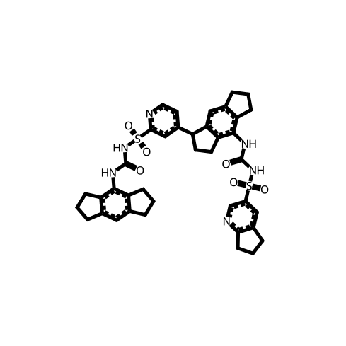 O=C(Nc1c2c(cc3c1CCC3c1ccnc(S(=O)(=O)NC(=O)Nc3c4c(cc5c3CCC5)CCC4)c1)CCC2)NS(=O)(=O)c1cnc2c(c1)CCC2